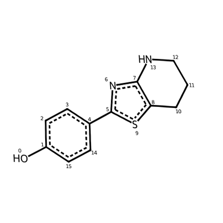 Oc1ccc(-c2nc3c(s2)CCCN3)cc1